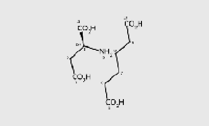 N[C@@H](CC(=O)O)C(=O)O.O=C(O)CCCCC(=O)O